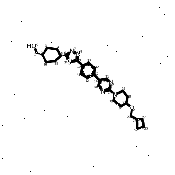 OC[C@H]1CC[C@H](c2nnc(-c3ccc(-c4cnc(N5CCC(OCC6CCC6)CC5)nc4)cc3)s2)CC1